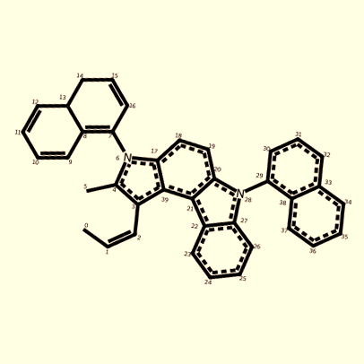 C/C=C\c1c(C)n(C2=C3C=CC=CC3CC=C2)c2ccc3c(c4ccccc4n3-c3cccc4ccccc34)c12